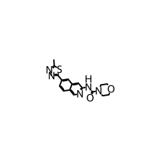 Cc1nnc(-c2ccc3cnc(NC(=O)N4CCOCC4)cc3c2)s1